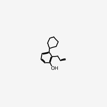 C=CCc1c(O)cccc1C1CCCCC1